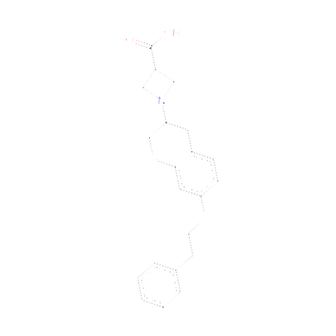 O=C(O)C1CN(C2COc3cc(OCCc4ccccc4)ccc3C2)C1